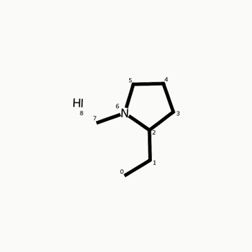 CCC1CCCN1C.I